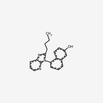 CCCCc1nc2cccnc2n1-c1cccc2cc(O)ccc12